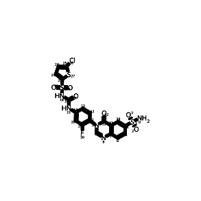 NS(=O)(=O)c1ccc2ncn(-c3ccc(NC(=O)NS(=O)(=O)c4ccc(Cl)s4)cc3F)c(=O)c2c1